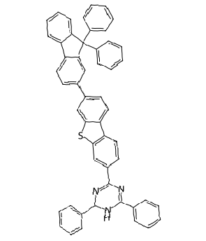 c1ccc(C2=NC(c3ccc4c(c3)sc3cc(-c5ccc6c(c5)C(c5ccccc5)(c5ccccc5)c5ccccc5-6)ccc34)=NC(c3ccccc3)N2)cc1